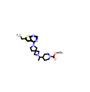 CC(C1CCN(C(=O)OC(C)(C)C)CC1)N1CC2(CCN(c3ncnc4sc(CC(F)(F)F)cc34)C2)C1